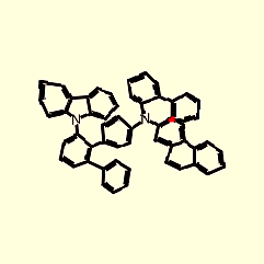 c1ccc(-c2ccccc2N(c2ccc(-c3c(-c4ccccc4)cccc3-n3c4ccccc4c4ccccc43)cc2)c2ccc3c(ccc4ccccc43)c2)cc1